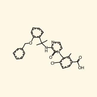 Cc1c(C(=O)O)ccc(Cl)c1-n1ccnc(NC(C)(C)c2ccccc2OCc2ccccc2)c1=O